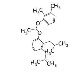 Cc1cccc(OC(C)Oc2cccc(CC(C)C)c2CC(C)C)c1C